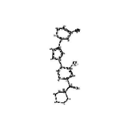 CCCc1cc(-c2cc(-c3ccc(C(=O)N4CCCCC4)cc3C(F)(F)F)cs2)ccn1